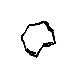 C1=CCCCC/C=C/1